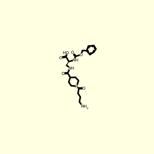 NCCCC(=O)N1CCC(C(=O)NC[C@H](NC(=O)OCc2ccccc2)C(=O)O)CC1